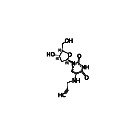 C#CCNc1cn([C@H]2C[C@H](O)[C@@H](CO)O2)c(=O)[nH]c1=O